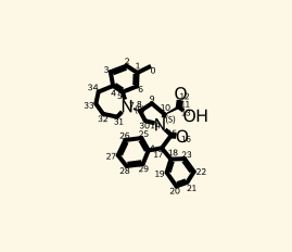 Cc1ccc2c(c1)N([C@@H]1C[C@@H](C(=O)O)N(C(=O)C(c3ccccc3)c3ccccc3)C1)CCCC2